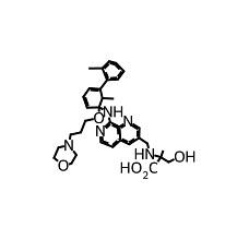 Cc1ccccc1C1=CC=CC(Nc2nccc3cc(CNC(C)(CO)C(=O)O)cnc23)(OCCCN2CCOCC2)C1C